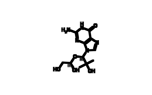 CC(C)(O)[C@@H](O[C@@H](O)CO)n1cnc2c(=O)[nH]c(N)nc21